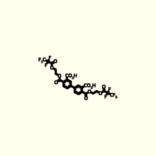 O=C(O)c1cc(-c2ccc(C(=O)OCCOC(=O)C(F)(F)C(F)(F)F)c(C(=O)O)c2)ccc1C(=O)OCCOC(=O)C(F)(F)C(F)(F)F